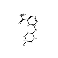 COC(=O)c1cccc(CC2CCN(C)CC2)c1